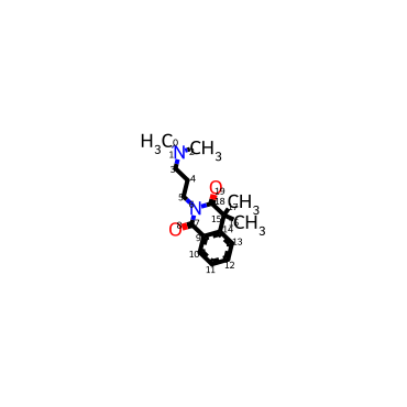 CN(C)CCCN1C(=O)c2ccccc2C(C)(C)C1=O